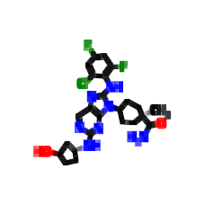 C[C@]1(C(N)=O)CC[C@@H](n2c(Nc3c(F)cc(F)cc3Cl)nc3cnc(N[C@@H]4CC[C@@H](O)C4)nc32)CC1